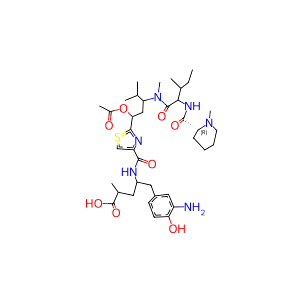 CCC(C)C(NC(=O)[C@H]1CCCCN1C)C(=O)N(C)C(CC(OC(C)=O)c1nc(C(=O)NC(Cc2ccc(O)c(N)c2)CC(C)C(=O)O)cs1)C(C)C